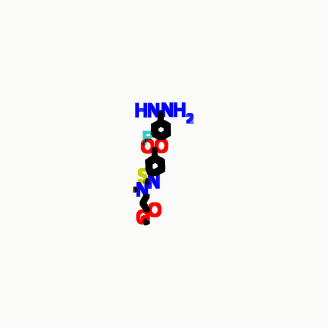 COC(=O)CCN(C)c1nc2ccc(C(=O)Oc3ccc(C(=N)N)cc3F)cc2s1